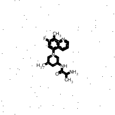 Cc1c(F)cc(N2CC(C)CC(NC(=O)C(C)N)C2)c2cccnc12